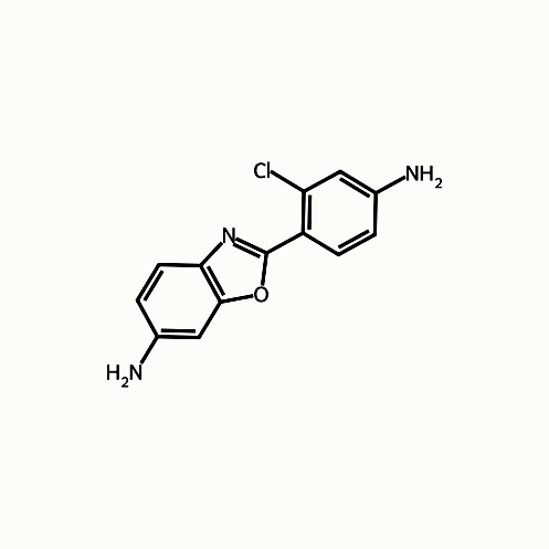 Nc1ccc(-c2nc3ccc(N)cc3o2)c(Cl)c1